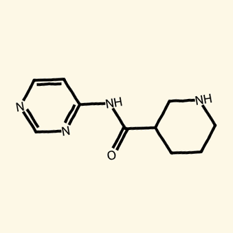 O=C(Nc1ccncn1)C1CCCNC1